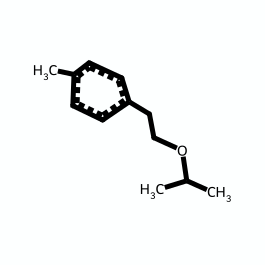 Cc1ccc(CCOC(C)C)cc1